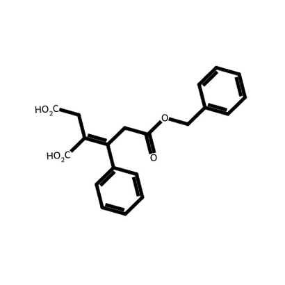 O=C(O)CC(C(=O)O)=C(CC(=O)OCc1ccccc1)c1ccccc1